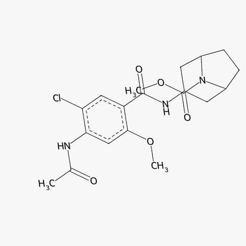 COC(=O)N1C2CCC1CC(NC(=O)c1cc(Cl)c(NC(C)=O)cc1OC)C2